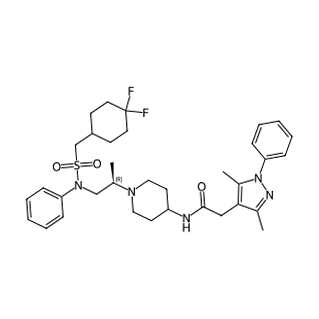 Cc1nn(-c2ccccc2)c(C)c1CC(=O)NC1CCN([C@H](C)CN(c2ccccc2)S(=O)(=O)CC2CCC(F)(F)CC2)CC1